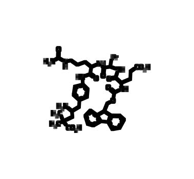 CC(C)C(NC(=O)C(CCC(=O)O)NC(=O)OCC1c2ccccc2-c2ccccc21)C(=O)NC(CCCNC(N)=O)C(=O)Nc1ccc(CC(N)CC(C)(C)C(=O)O)cc1